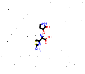 Nc1nc(C(=NOC2CCNC2=O)C(=O)O)cs1